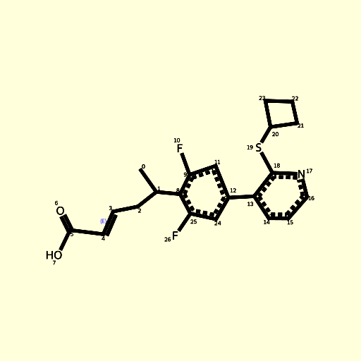 CC(C/C=C/C(=O)O)c1c(F)cc(-c2cccnc2SC2CCC2)cc1F